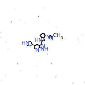 Cc1cn(-c2cccc3[nH]c(-c4n[nH]c5ncc(C6=CCNCC6)cc45)cc23)cn1